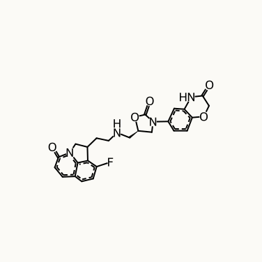 O=C1COc2ccc(N3C[C@@H](CNCCC4Cn5c(=O)ccc6ccc(F)c4c65)OC3=O)cc2N1